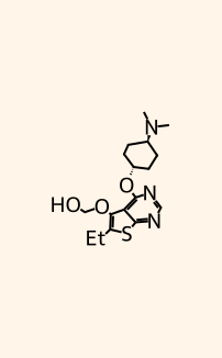 CCc1sc2ncnc(O[C@H]3CC[C@H](N(C)C)CC3)c2c1OCO